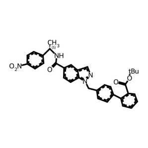 C[C@H](NC(=O)c1ccc2c(cnn2Cc2ccc(-c3ccccc3C(=O)OC(C)(C)C)cc2)c1)c1ccc([N+](=O)[O-])cc1